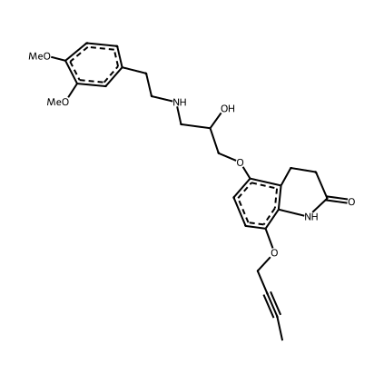 CC#CCOc1ccc(OCC(O)CNCCc2ccc(OC)c(OC)c2)c2c1NC(=O)CC2